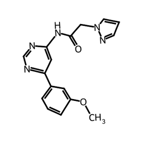 COc1cccc(-c2cc(NC(=O)Cn3cccn3)ncn2)c1